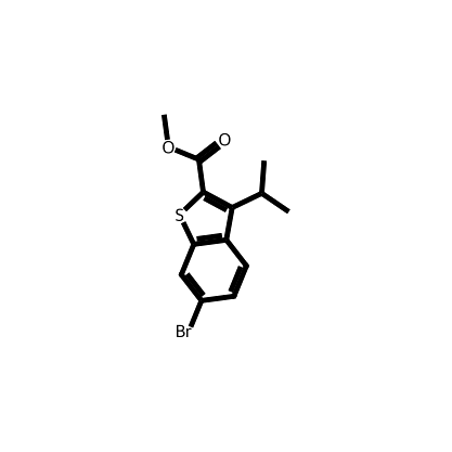 COC(=O)c1sc2cc(Br)ccc2c1C(C)C